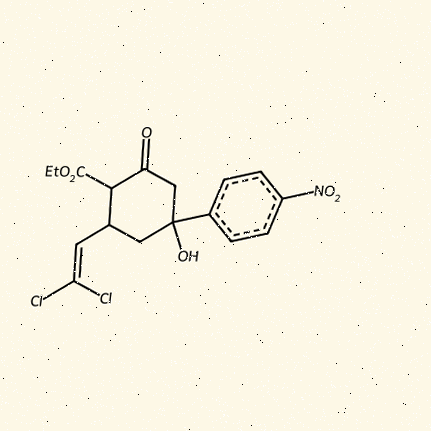 CCOC(=O)C1C(=O)CC(O)(c2ccc([N+](=O)[O-])cc2)CC1C=C(Cl)Cl